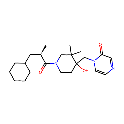 C[C@H](CC1CCCCC1)C(=O)N1CCC(O)(Cn2ccncc2=O)C(C)(C)C1